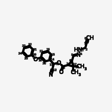 C#CCNN=CC1C(C(=O)OC(C#N)c2cccc(Oc3ccccc3)c2)C1(C)C